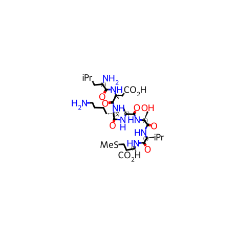 CSCC[C@H](NC(=O)[C@@H](NC(=O)[C@H](CO)NC(=O)[C@H](C)NC(=O)[C@H](CCCCN)NC(=O)[C@H](CC(=O)O)NC(=O)[C@@H](N)CC(C)C)C(C)C)C(=O)O